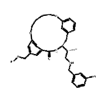 CCOCc1cc2cc(c1)C(=O)N[C@H]([C@H](O)CNCc1cccc(C(C)C)c1)Cc1cccc(c1)OCCCCO2